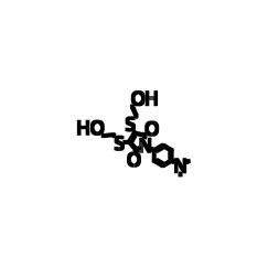 CN(C)c1ccc(N2C(=O)C(SCCO)=C(SCCO)C2=O)cc1